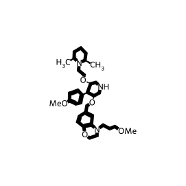 COCCCN1CCOc2ccc(CO[C@H]3CNC[C@@H](OCCN4[C@H](C)CCC[C@@H]4C)[C@@H]3c3ccc(OC)cc3)cc21